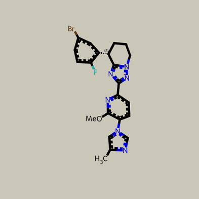 COc1nc(-c2nc3n(n2)CCC[C@H]3c2cc(Br)ccc2F)ccc1-n1cnc(C)c1